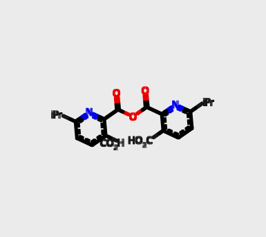 CC(C)c1ccc(C(=O)O)c(C(=O)OC(=O)c2nc(C(C)C)ccc2C(=O)O)n1